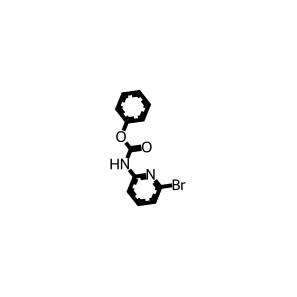 O=C(Nc1cccc(Br)n1)Oc1ccccc1